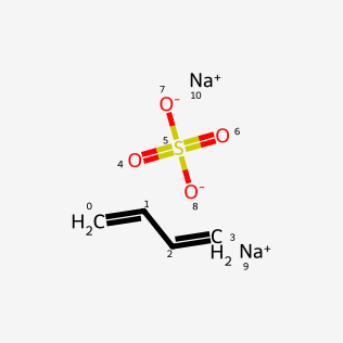 C=CC=C.O=S(=O)([O-])[O-].[Na+].[Na+]